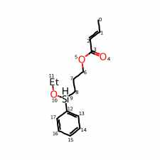 CC=CC(=O)OCCC[SiH](OCC)c1ccccc1